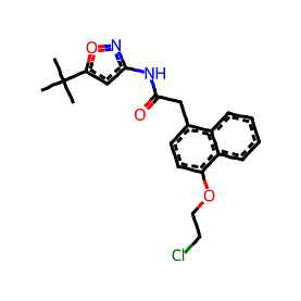 CC(C)(C)c1cc(NC(=O)Cc2ccc(OCCCl)c3ccccc23)no1